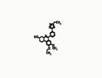 CCOc1cc2c(cc1OC)C(c1cccc(-c3nnn(CC)n3)c1)=NC1CC(O)CCC21